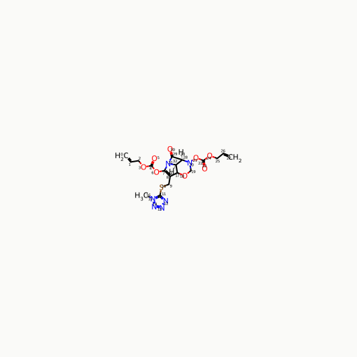 C=CCOC(=O)OC1=C(CSc2nnnn2C)C2OCN(OC(=O)OCC=C)[C@@H]3C(=O)N1[C@H]23